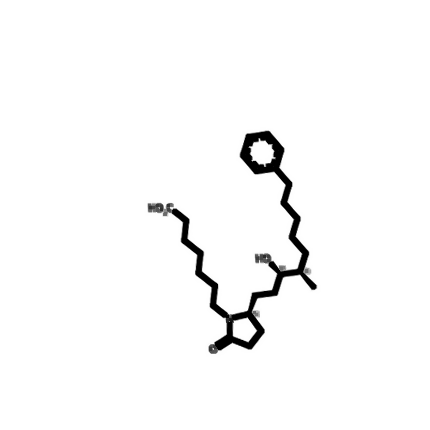 C[C@H](CCCCCc1ccccc1)[C@H](O)CC[C@H]1CCC(=O)N1CCCCCCC(=O)O